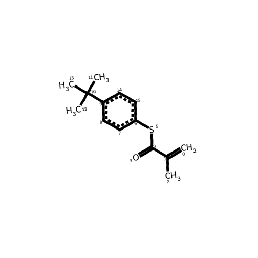 C=C(C)C(=O)Sc1ccc(C(C)(C)C)cc1